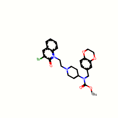 CC(C)(C)OC(=O)N(Cc1ccc2c(c1)OCCO2)C1CCN(CCn2c(=O)c(Br)cc3ccccc32)CC1